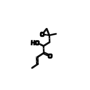 CC=CC(=O)C(O)CC1(C)CO1